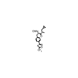 CON(Cc1ccc(-c2noc(C(F)(F)F)n2)cc1)C(=O)N(C)CC1CC1